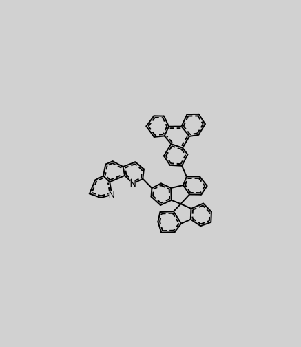 c1ccc2c(c1)-c1ccccc1C21c2ccc(-c3ccc4ccc5cccnc5c4n3)cc2-c2c(-c3ccc4c5ccccc5c5ccccc5c4c3)cccc21